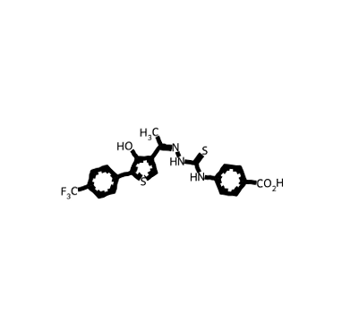 C/C(=N/NC(=S)Nc1ccc(C(=O)O)cc1)c1csc(-c2ccc(C(F)(F)F)cc2)c1O